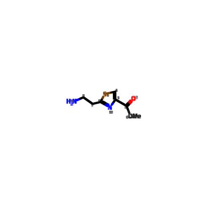 COC(=O)c1csc(CCN)n1